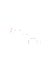 ClC[C@@H](Cl)CCC[C@@H]1CO1